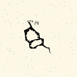 CC(=O)Cc1ccc2ccc(C(=O)O)cc2c1